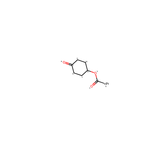 CCCC(=O)OC1CCC(=O)CC1